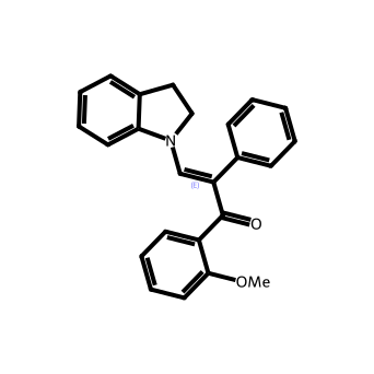 COc1ccccc1C(=O)/C(=C/N1CCc2ccccc21)c1ccccc1